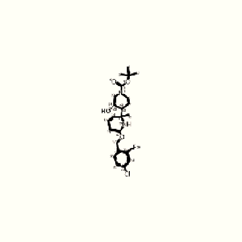 CC(C)(C)OC(=O)N1CC[C@@H](C2(C)C=CC=C(OCc3ccc(Cl)cc3F)N2)[C@H](O)C1